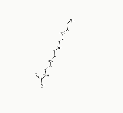 NCCNCCNCCNCCNC(=S)S